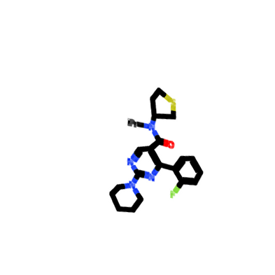 CC(C)N(C(=O)c1cnc(N2CCCCC2)nc1-c1ccccc1F)C1CCSC1